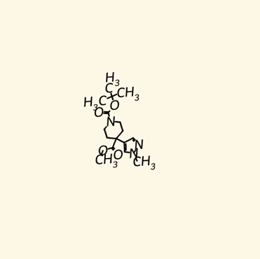 COC(=O)C1(c2cnn(C)c2)CCN(C(=O)OC(C)(C)C)CC1